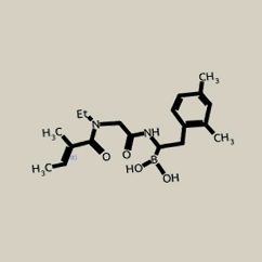 C/C=C(\C)C(=O)N(CC)CC(=O)NC(Cc1ccc(C)cc1C)B(O)O